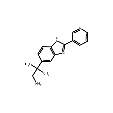 CC(C)(CN)c1ccc2[nH]c(-c3cccnc3)nc2c1